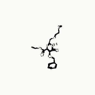 CCOC(=O)c1nc(COCCSC)[nH]c(=O)c1OCc1ccccc1